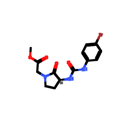 COC(=O)CN1CC[C@H](NC(=O)Nc2ccc(Br)cc2)C1=O